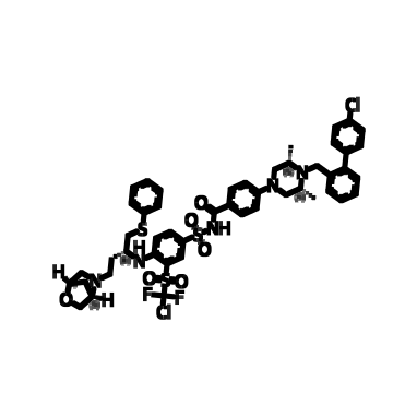 C[C@@H]1CN(c2ccc(C(=O)NS(=O)(=O)c3ccc(N[C@H](CCN4C[C@@H]5C[C@H]4CO5)CSc4ccccc4)c(S(=O)(=O)C(F)(F)Cl)c3)cc2)C[C@H](C)N1Cc1ccccc1-c1ccc(Cl)cc1